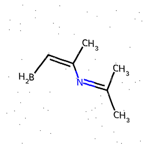 B/C=C(/C)N=C(C)C